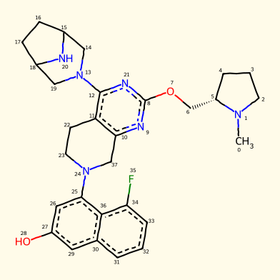 CN1CCC[C@H]1COc1nc2c(c(N3CC4CCC(C3)N4)n1)CCN(c1cc(O)cc3cccc(F)c13)C2